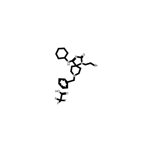 CC(C)CCN1C(=O)N=C(NC2CCCCC2)C12CCN(Cc1ccccc1)CC2.O=C(O)C(F)(F)F